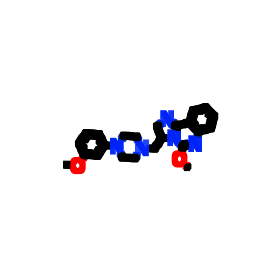 COC1=Nc2ccccc2C2=NCC(CN3CCN(c4cccc(OC)c4)CC3)N12